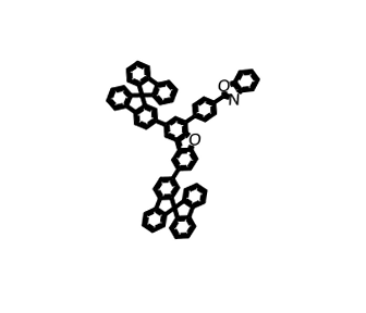 c1ccc2c(c1)-c1ccccc1C21c2ccccc2-c2ccc(-c3ccc4oc5c(-c6ccc(-c7nc8ccccc8o7)cc6)cc(-c6ccc7c(c6)C6(c8ccccc8-c8ccccc86)c6ccccc6-7)cc5c4c3)cc21